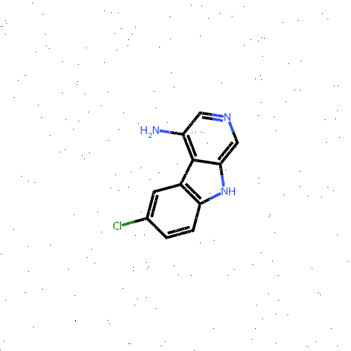 Nc1cncc2[nH]c3ccc(Cl)cc3c12